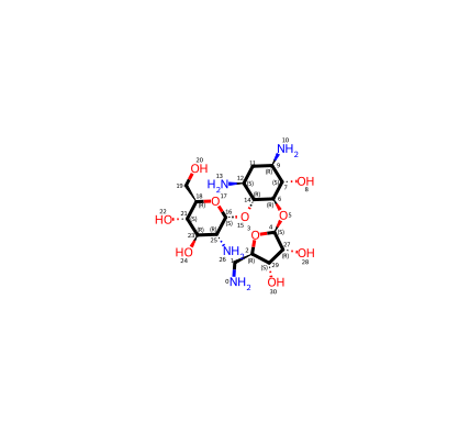 NC[C@H]1O[C@@H](O[C@@H]2[C@@H](O)[C@H](N)C[C@H](N)[C@H]2O[C@H]2O[C@H](CO)[C@@H](O)[C@H](O)[C@H]2N)[C@H](O)[C@@H]1O